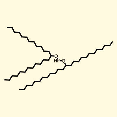 CCCCCCCCCCCCC(CCCCCCCCCCCC)OPOC(CCCCCCCCCCCC)CCCCCCCCCCCC